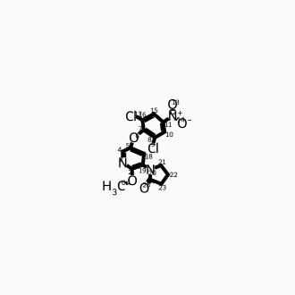 COc1ncc(Oc2c(Cl)cc([N+](=O)[O-])cc2Cl)cc1N1CCCC1=O